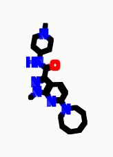 CN1CCC(NC(=O)c2nn(C)c3nc(N4CCCCCCC4)ccc23)CC1